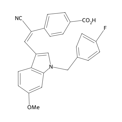 COc1ccc2c(C=C(C#N)c3ccc(C(=O)O)cc3)cn(Cc3ccc(F)cc3)c2c1